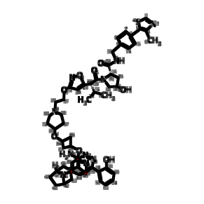 Cc1ncsc1-c1ccc(CNC(=O)[C@@H]2C[C@@H](O)CN2C(=O)[C@@H](c2cc(OCCN3CCC(OC4CC(Oc5cc(N6C7CC[C@@H]6CN(c6cc(-c8ccccc8O)nnc6N)C7)ccn5)C4)CC3)no2)C(C)C)cc1